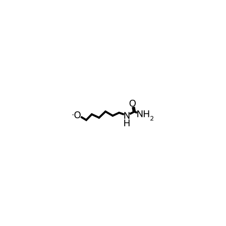 NC(=O)NCCCCCC[O]